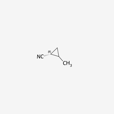 CC1C[C@H]1C#N